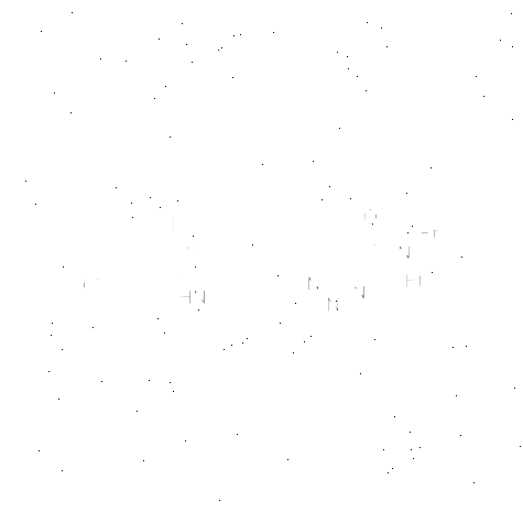 CCN(CC)C(=O)c1cn([C@H]2CC[C@@H](NC(=O)Cc3c(F)cccc3Cl)CC2)nn1